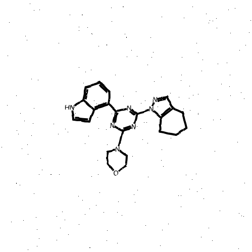 c1cc(-c2nc(N3CCOCC3)nc(-n3ncc4c3CCCC4)n2)c2cc[nH]c2c1